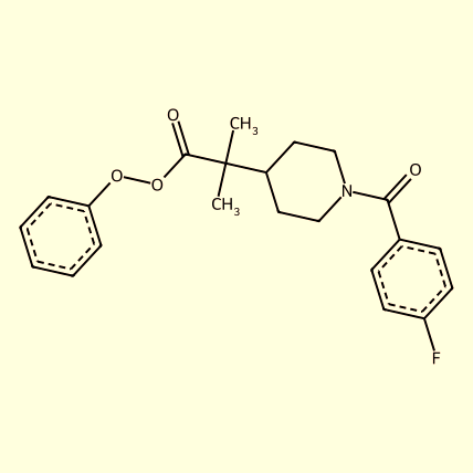 CC(C)(C(=O)OOc1ccccc1)C1CCN(C(=O)c2ccc(F)cc2)CC1